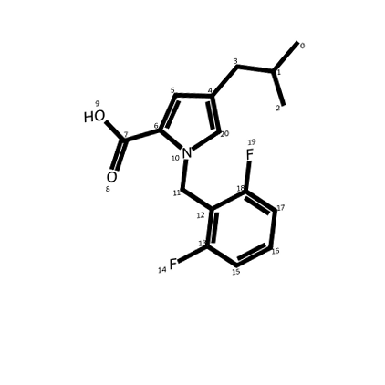 CC(C)Cc1cc(C(=O)O)n(Cc2c(F)cccc2F)c1